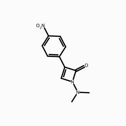 CN(C)N1C=C(c2ccc([N+](=O)[O-])cc2)C1=O